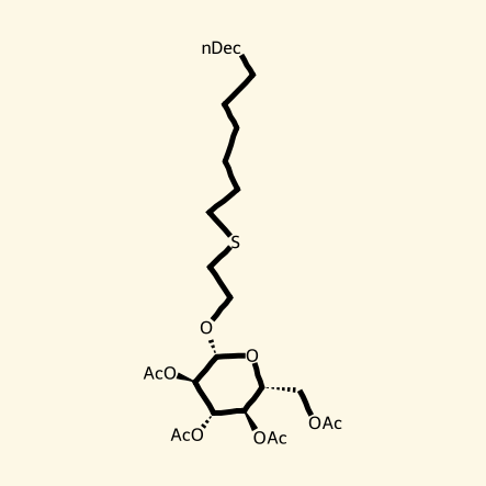 CCCCCCCCCCCCCCCCSCCO[C@@H]1O[C@H](COC(C)=O)[C@@H](OC(C)=O)[C@H](OC(C)=O)[C@H]1OC(C)=O